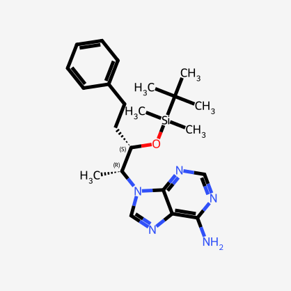 C[C@H]([C@H](CCc1ccccc1)O[Si](C)(C)C(C)(C)C)n1cnc2c(N)ncnc21